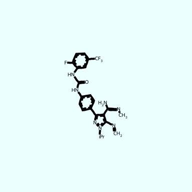 C=Nc1c(/C(N)=N\C)c(-c2ccc(NC(=O)Nc3cc(C(F)(F)F)ccc3F)cc2)nn1C(C)C